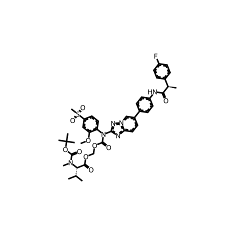 COc1cc(S(C)(=O)=O)ccc1N(C(=O)OCOC(=O)[C@H](C(C)C)N(C)C(=O)OC(C)(C)C)c1nc2ccc(-c3ccc(NC(=O)[C@H](C)c4ccc(F)cc4)cc3)cn2n1